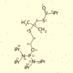 CC(C)C(=O)SCC(C)(C)SCCOP(N(C(C)C)C(C)C)N(C(C)C)C(C)C